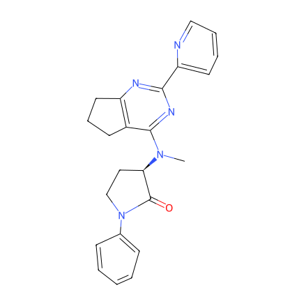 CN(c1nc(-c2ccccn2)nc2c1CCC2)[C@@H]1CCN(c2ccccc2)C1=O